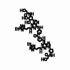 CCn1nnc(CCNc2nc(N[C@@H]3CCN(C(=O)N4CC[C@@H](Nc5nc(NCCc6nnn(CC)n6)nc6c5ncn6[C@@H]5C[C@H](NC(=O)CO)[C@@H](O)[C@H]5O)C4)C3)c3ncn([C@H]4CC[C@@H](NC(=O)CO)C4)c3n2)n1